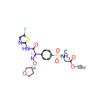 CN(CC(=O)OC(C)(C)C)S(=O)(=O)c1ccc(/C(=N\O[C@@H]2CCOC2)C(=O)Nc2ncc(F)s2)cc1